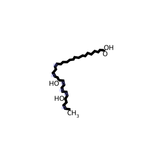 CC/C=C\CC(O)\C=C/C=C\C=C/C(O)C/C=C\C/C=C\CCCCCCCCCCCCCCC(=O)O